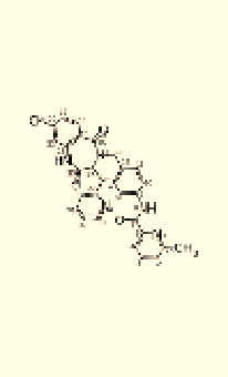 Cc1cccc(C(=O)Nc2ccc(CN3C(=O)c4ccc(Cl)cc4NC(=O)C3Cc3ccccn3)cc2)n1